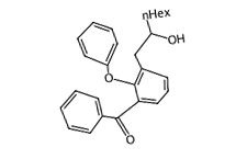 CCCCCCC(O)Cc1cccc(C(=O)c2ccccc2)c1Oc1ccccc1